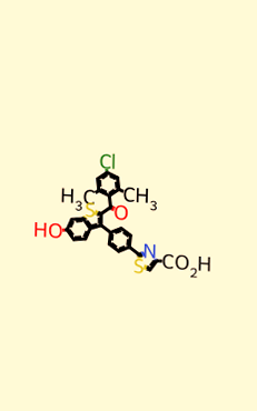 Cc1cc(Cl)cc(C)c1C(=O)c1sc2cc(O)ccc2c1-c1ccc(-c2nc(C(=O)O)cs2)cc1